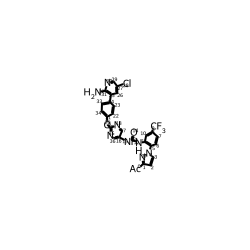 CC(=O)c1ccn(-c2ccc(C(F)(F)F)cc2NC(=O)Nc2cnc(Oc3ccc(-c4cc(Cl)cnc4N)cc3)nc2)n1